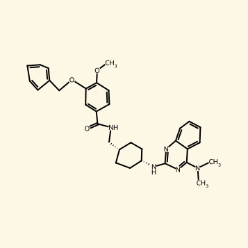 COc1ccc(C(=O)NC[C@H]2CC[C@@H](Nc3nc(N(C)C)c4ccccc4n3)CC2)cc1OCc1ccccc1